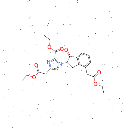 CCOC(=O)Cc1cn(C2Cc3c(CC(=O)OCC)cccc3C2=O)c(C(=O)OCC)n1